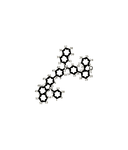 c1ccc(-n2c3cc(-c4ccc(N(c5ccc(-c6cccc7oc8ccccc8c67)cc5)c5ccc6ccccc6c5)cc4)ccc3c3ccc4ccccc4c32)cc1